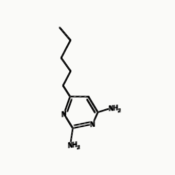 CCCCCc1cc(N)nc(N)n1